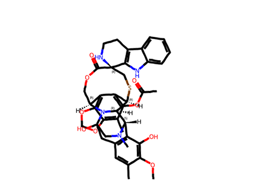 COc1c(C)cc2c(c1O)[C@H]1[C@@H]3[C@@H]4SC[C@]5(NCCc6c5[nH]c5ccccc65)C(=O)OC[C@@H](c5c6c(c(C)c(OC(C)=O)c54)OCO6)N3C(O)(C2)CN1C